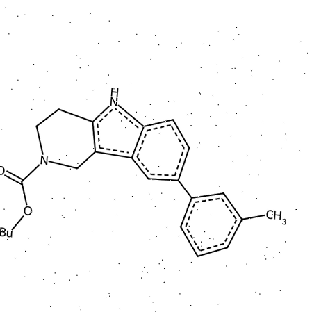 Cc1cccc(-c2ccc3[nH]c4c(c3c2)CN(C(=O)OC(C)(C)C)CC4)c1